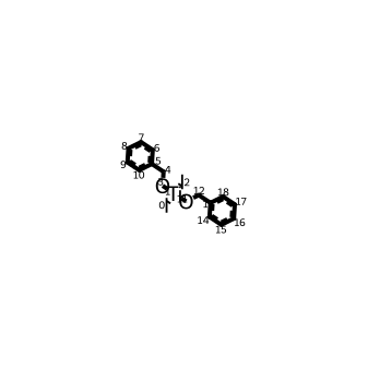 [I][Ti]([I])([O]Cc1ccccc1)[O]Cc1ccccc1